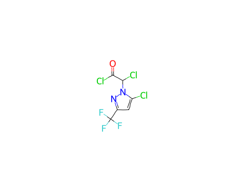 O=C(Cl)C(Cl)n1nc(C(F)(F)F)cc1Cl